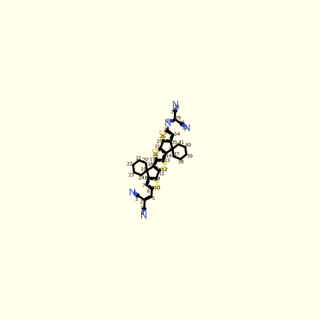 N#CC(C#N)=Cc1cc2c(s1)-c1sc3c4c(sc3c1C21CCCCC1)-c1sc(N=C(C#N)C#N)cc1C41CCCCC1